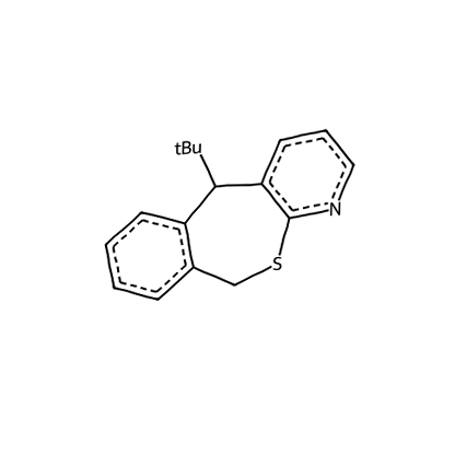 CC(C)(C)C1c2ccccc2CSc2ncccc21